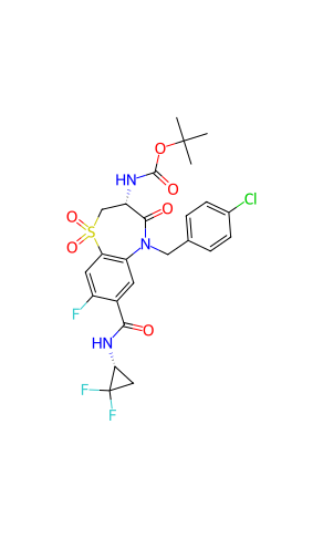 CC(C)(C)OC(=O)N[C@H]1CS(=O)(=O)c2cc(F)c(C(=O)N[C@@H]3CC3(F)F)cc2N(Cc2ccc(Cl)cc2)C1=O